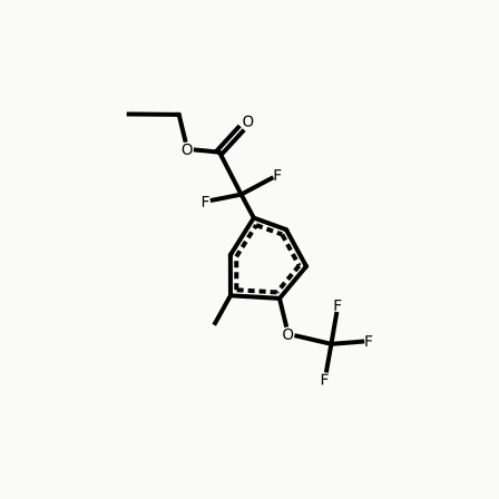 CCOC(=O)C(F)(F)c1ccc(OC(F)(F)F)c(C)c1